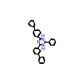 c1ccc(-c2ccc(C3=NC(c4cccc(-c5ccccc5)c4)NC(c4ccccc4)N3)cc2)cc1